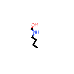 CCCCN[CH]O